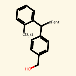 CCCCCC(c1ccc(CO)cc1)c1ccccc1C(=O)OCC